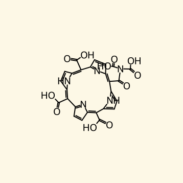 O=C(O)c1c2nc(c(C(=O)O)c3ccc([nH]3)c(C(=O)N(C(=O)O)C(=O)O)c3nc(c(C(=O)O)c4ccc1[nH]4)C=C3)C=C2